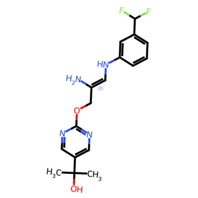 CC(C)(O)c1cnc(OC/C(N)=C/Nc2cccc(C(F)F)c2)nc1